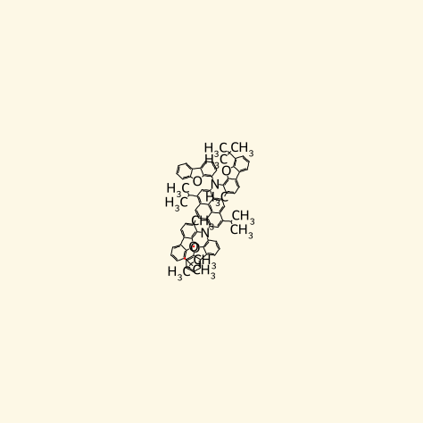 Cc1ccc2c(oc3c(C(C)(C)C)cccc32)c1N(c1cc(C(C)C)c2ccc3c(N(c4cccc5c4oc4ccccc45)c4c(C)ccc5c4oc4c(C(C)(C)C)cccc45)cc(C(C)C)c4ccc1c2c43)c1cccc2c1oc1ccccc12